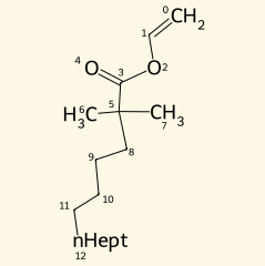 C=COC(=O)C(C)(C)CCCCCCCCCCC